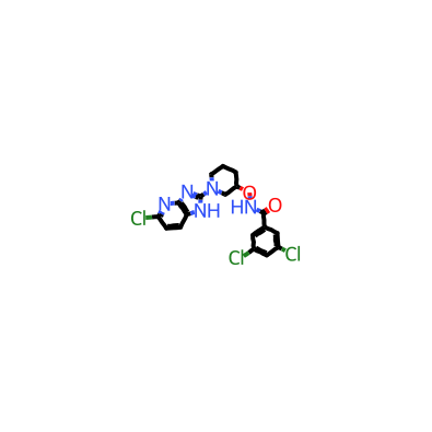 O=C(NOC1CCCN(c2nc3nc(Cl)ccc3[nH]2)C1)c1cc(Cl)cc(Cl)c1